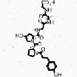 C[C@H](NC(=O)CNC(=O)[C@@H]1C[C@@H](O)CN1C(=O)[C@@H]1CCCN1C(=O)CCc1ccc(O)cc1)C(=O)NCC(=O)O